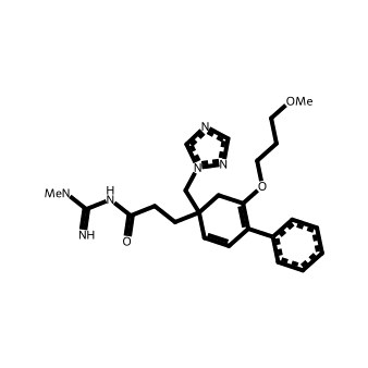 CNC(=N)NC(=O)CCC1(Cn2cncn2)C=CC(c2ccccc2)=C(OCCCOC)C1